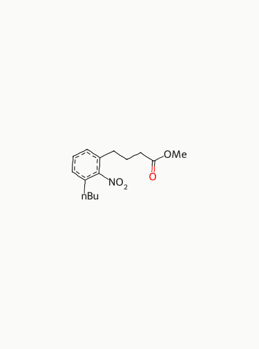 CCCCc1cccc(CCCC(=O)OC)c1[N+](=O)[O-]